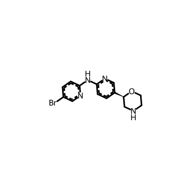 Brc1ccc(Nc2ccc([C@@H]3CNCCO3)cn2)nc1